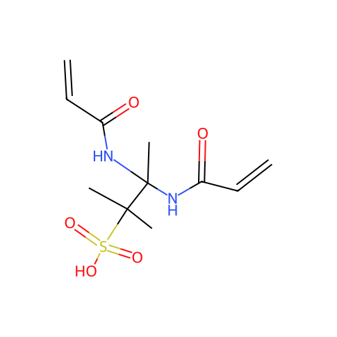 C=CC(=O)NC(C)(NC(=O)C=C)C(C)(C)S(=O)(=O)O